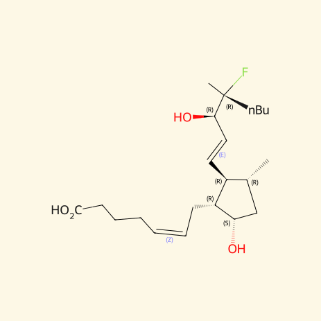 CCCC[C@@](C)(F)[C@H](O)/C=C/[C@@H]1[C@@H](C/C=C\CCCC(=O)O)[C@@H](O)C[C@H]1C